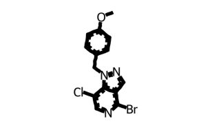 COc1ccc(Cn2ncc3c(Br)ncc(Cl)c32)cc1